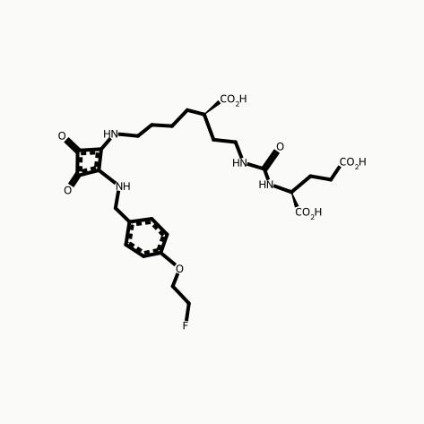 O=C(O)CC[C@H](NC(=O)NCC[C@@H](CCCCNc1c(NCc2ccc(OCCF)cc2)c(=O)c1=O)C(=O)O)C(=O)O